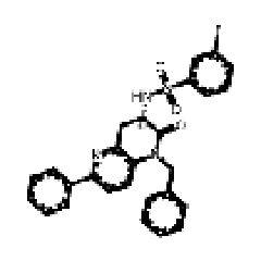 O=C1[C@@H](NS(=O)(=O)c2cccc(F)c2)Cc2nc(-c3ccccc3)ccc2N1Cc1ccccc1